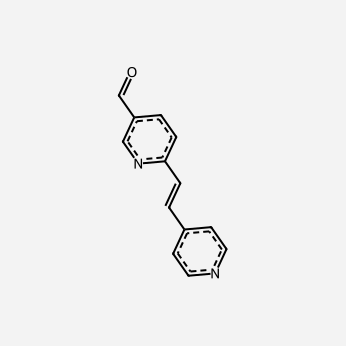 O=Cc1ccc(C=Cc2ccncc2)nc1